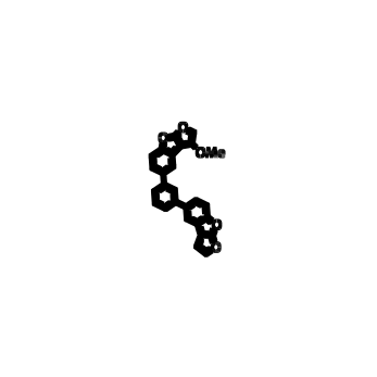 COc1coc2oc3ccc(-c4cccc(-c5ccc6oc7occc7c6c5)c4)cc3c12